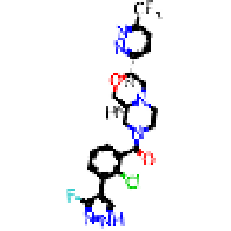 O=C(c1cccc(-c2c[nH]nc2F)c1Cl)N1CCN2C[C@@H](c3ccc(C(F)(F)F)nn3)OC[C@@H]2C1